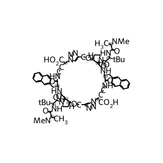 CN[C@@H](C)C(=O)N[C@H](C(=O)N1CC[C@H]2OCc3cn(nn3)[C@H](C(=O)O)CCNC(=O)[C@H](Cc3ccc4ccccc4c3)NC(=O)[C@@H]3[C@@H](CCN3C(=O)[C@@H](NC(=O)[C@H](C)NC)C(C)(C)C)OCc3cn(nn3)[C@H](C(=O)O)CCNC(=O)[C@H](Cc3ccc4ccccc4c3)NC(=O)[C@H]21)C(C)(C)C